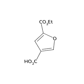 CCOC(=O)c1cc(C(=O)O)co1